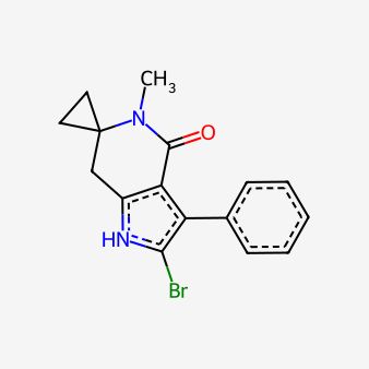 CN1C(=O)c2c([nH]c(Br)c2-c2ccccc2)CC12CC2